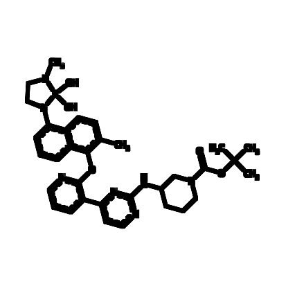 Cc1ccc2c(N3CCN(C)S3(O)O)cccc2c1Oc1ncccc1-c1ccnc(NC2CCCN(C(=O)OC(C)(C)C)C2)n1